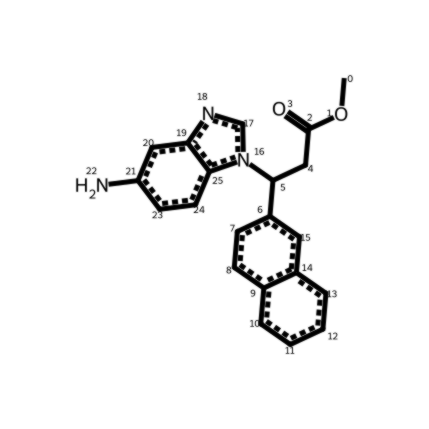 COC(=O)CC(c1ccc2ccccc2c1)n1cnc2cc(N)ccc21